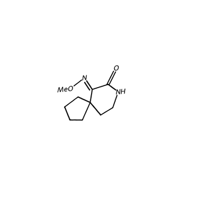 CO/N=C1/C(=O)NCCC12CCCC2